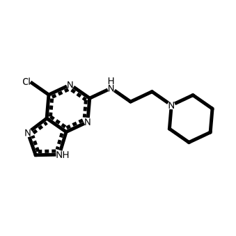 Clc1nc(NCCN2CCCCC2)nc2[nH]cnc12